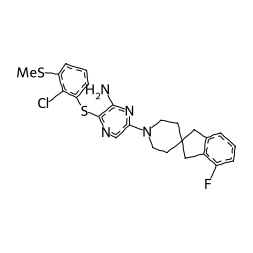 CSc1cccc(Sc2ncc(N3CCC4(CC3)Cc3cccc(F)c3C4)nc2N)c1Cl